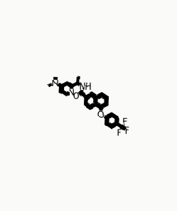 CC(NC(=O)c1ccc2c(Oc3ccc(C(F)(F)F)cc3)cccc2c1)c1cc(N(C)C)ccn1